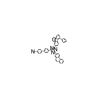 N#Cc1ccc(-c2ccc(-c3nc(-c4ccc5c(ccc6ccccc65)c4)nc(-c4ccc5c(c4)oc4cccc(-c6ccccc6)c45)n3)cc2)cc1